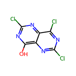 Oc1nc(Cl)nc2c(Cl)nc(Cl)nc12